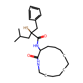 CC(C)CC(S)(Cc1ccccc1)C(=O)NC1CCCCCCCCCCNC1=O